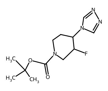 CC(C)(C)OC(=O)N1CCC(n2cnnc2)C(F)C1